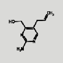 C=CCc1cnc(N)nc1CO